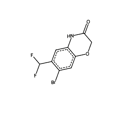 O=C1COc2cc(Br)c(C(F)F)cc2N1